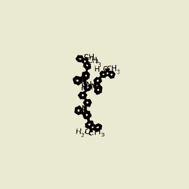 CC1(C)c2ccccc2-c2cc(-c3ccc4c(c3)c3ccccc3n4-c3cccc(-c4cccc(-c5cc(-n6c7ccccc7c7cc(-c8ccc9c(c8)-c8ccccc8C9(C)C)ccc76)nc(-n6c7ccccc7c7cc(-c8ccc9c(c8)-c8ccccc8C9(C)C)ccc76)n5)c4)c3)ccc21